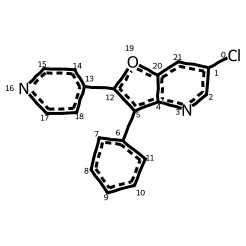 Clc1cnc2c(-c3ccccc3)c(-c3ccncc3)oc2c1